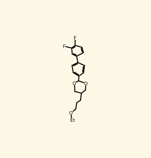 CCOCCCC1COC(c2ccc(-c3ccc(F)c(F)c3)cc2)OC1